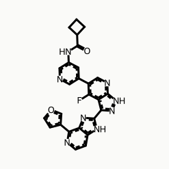 O=C(Nc1cncc(-c2cnc3[nH]nc(-c4nc5c(-c6ccoc6)nccc5[nH]4)c3c2F)c1)C1CCC1